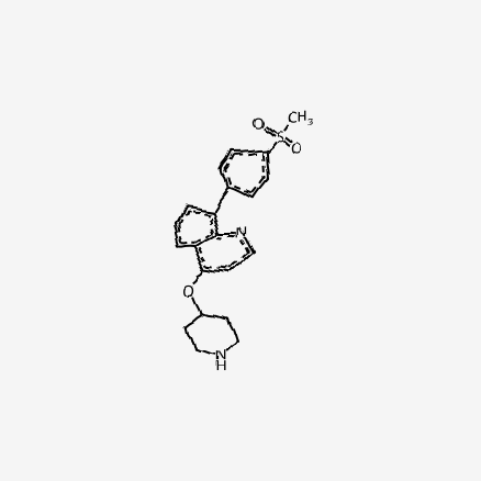 CS(=O)(=O)c1ccc(-c2cccc3c(OC4CCNCC4)ccnc23)cc1